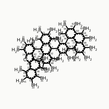 Bc1c(B)c(-c2c3c(B)c(B)c(B)c(B)c3c(-c3c(B)c(B)c(B)c4oc5c6c(B)c(B)c(B)c(B)c6c(B)c(B)c5c34)c3c(B)c(B)c(B)c(B)c23)c(B)c(-c2c(B)c(B)c(B)c3c(B)c(B)c4c(B)c(B)c(B)c(B)c4c23)c1B